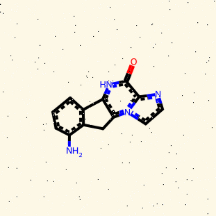 Nc1cccc2c1Cc1c-2[nH]c(=O)c2nccn12